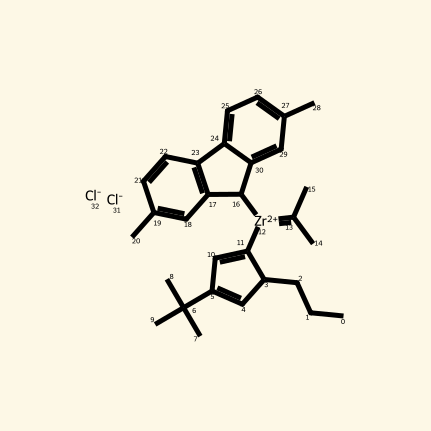 CCCC1C=C(C(C)(C)C)C=[C]1[Zr+2](=[C](C)C)[CH]1c2cc(C)ccc2-c2ccc(C)cc21.[Cl-].[Cl-]